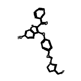 O=C(c1ccccc1)c1sc2cc(O)ccc2c1Oc1ccc(OCN2CCC(CF)C2)cc1